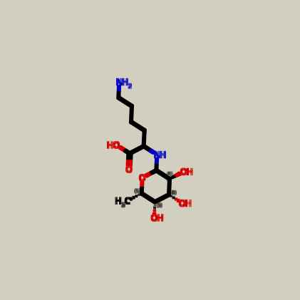 C[C@@H]1OC(NC(CCCCN)C(=O)O)[C@@H](O)[C@H](O)[C@@H]1O